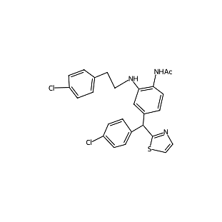 CC(=O)Nc1ccc(C(c2ccc(Cl)cc2)c2nccs2)cc1NCCc1ccc(Cl)cc1